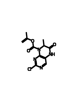 C=C(C)OC(=O)N1c2nc(Cl)ncc2NC(=O)C1C